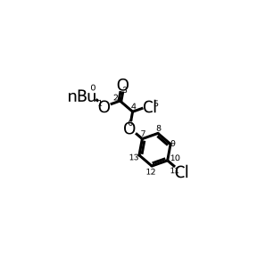 CCCCOC(=O)C(Cl)Oc1ccc(Cl)cc1